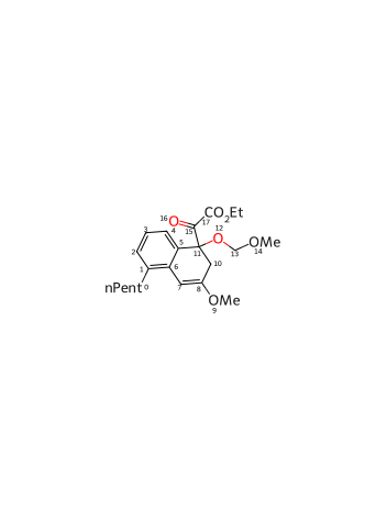 CCCCCc1cccc2c1C=C(OC)CC2(OCOC)C(=O)C(=O)OCC